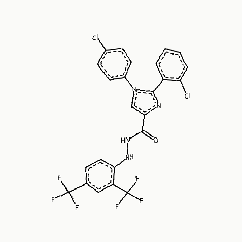 O=C(NNc1ccc(C(F)(F)F)cc1C(F)(F)F)c1cn(-c2ccc(Cl)cc2)c(-c2ccccc2Cl)n1